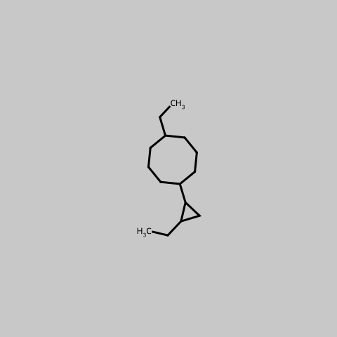 CCC1CCCC(C2CC2CC)CCC1